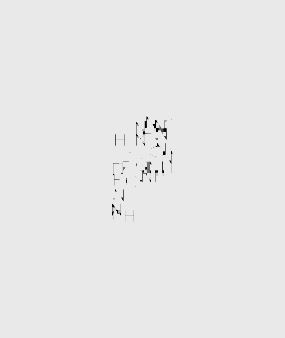 CN1CCN(Cc2ccc(NC(=O)Nc3ccc(-c4nn(C5CC5)c5ncnc(N)c45)n4ccnc34)cc2C(F)(F)F)CC1